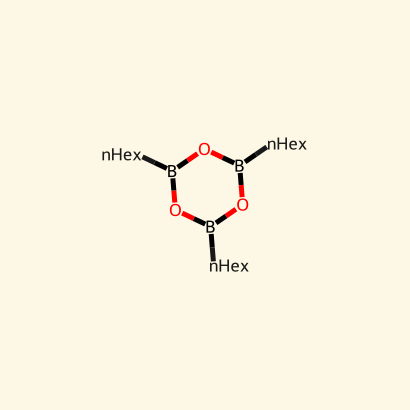 CCCCCCB1OB(CCCCCC)OB(CCCCCC)O1